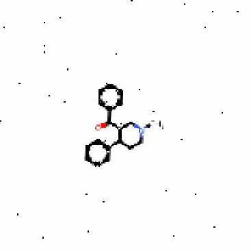 CN1CCC(c2ccccc2)C(C(=O)c2ccccc2)C1